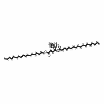 CCCCCCCCCCCCCCCCCCOC(=O)/C=C/C(=O)OC(=O)CCCCCCCCCCCCCCCCC.[MgH2].[NaH].[NaH]